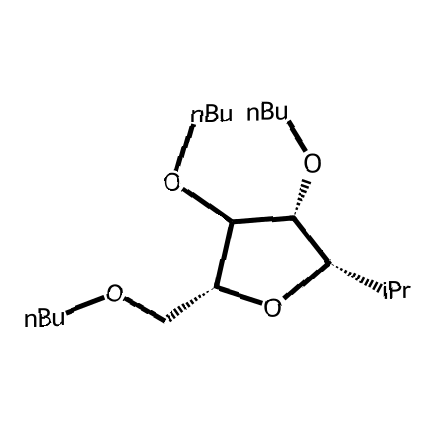 CCCCOC[C@H]1O[C@@H](C(C)C)[C@@H](OCCCC)C1OCCCC